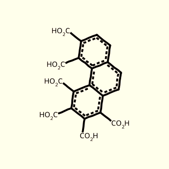 O=C(O)c1ccc2ccc3c(C(=O)O)c(C(=O)O)c(C(=O)O)c(C(=O)O)c3c2c1C(=O)O